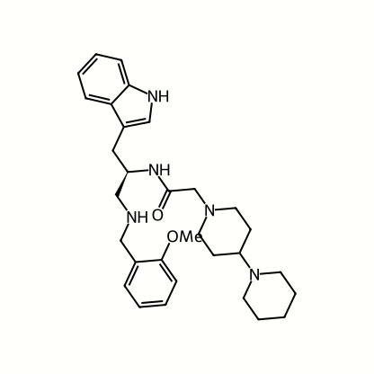 COc1ccccc1CNC[C@@H](Cc1c[nH]c2ccccc12)NC(=O)CN1CCC(N2CCCCC2)CC1